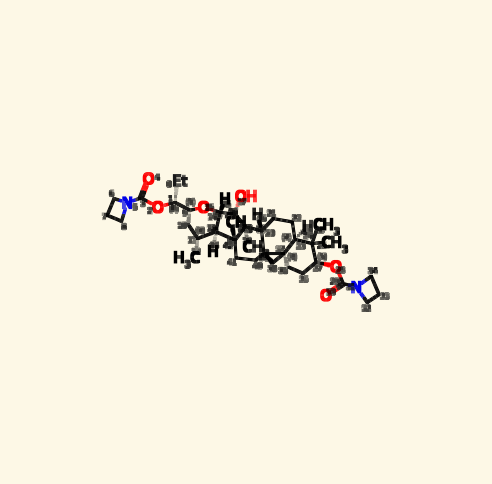 CC[C@@H](OC(=O)N1CCC1)[C@H]1C[C@@H](C)[C@H]2[C@H](O1)[C@H](O)[C@@]1(C)[C@@H]3CC[C@H]4C(C)(C)[C@@H](OC(=O)N5CCC5)CC[C@@]45C[C@@]35CC[C@]21C